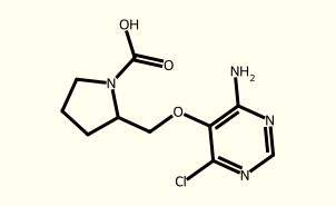 Nc1ncnc(Cl)c1OCC1CCCN1C(=O)O